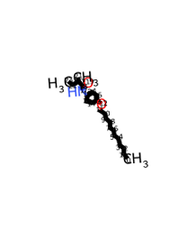 CCCCCCCCCCCCOc1ccc(NC(=O)C(C)CC)cc1